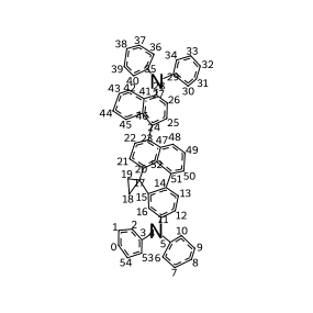 c1ccc(N(c2ccccc2)c2ccc3c(c2)C2(CC2)c2ccc(-c4ccc(N(c5ccccc5)c5ccccc5)c5ccccc45)c4cccc-3c24)cc1